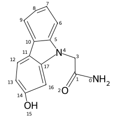 NC(=O)Cn1c2ccccc2c2ccc(O)cc21